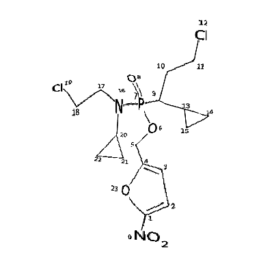 O=[N+]([O-])c1ccc(COP(=O)(C(CCCl)C2CC2)N(CCCl)C2CC2)o1